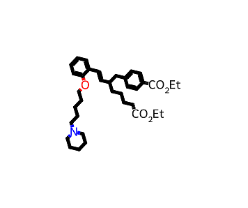 CCOC(=O)CCCCC(/C=C/c1ccccc1OCCCCCN1CCCCC1)Cc1ccc(C(=O)OCC)cc1